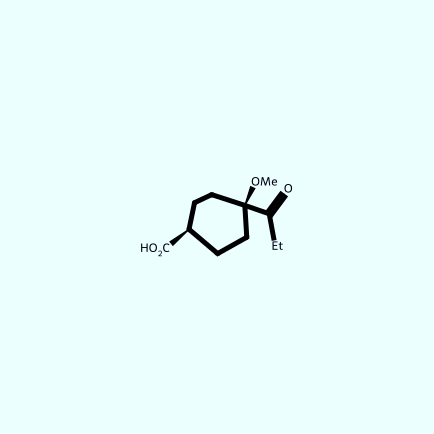 CCC(=O)[C@]1(OC)CC[C@@H](C(=O)O)CC1